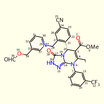 COC(=O)C1=C(C)N(c2cccc(C(F)(F)F)c2)c2n[nH]c(=O)n2[C@@H]1c1ccc(C#N)cc1C[n+]1cccc(COC=O)c1